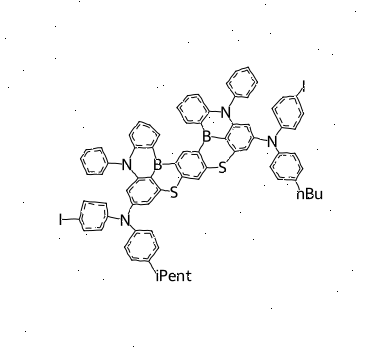 CCCCc1ccc(N(c2ccc(I)cc2)c2cc3c4c(c2)N(c2ccccc2)c2ccccc2B4c2cc4c(cc2S3)Sc2cc(N(c3ccc(I)cc3)c3ccc(C(C)CCC)cc3)cc3c2B4c2ccccc2N3c2ccccc2)cc1